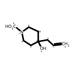 C=CCC1(O)CCN(C(=O)O)CC1